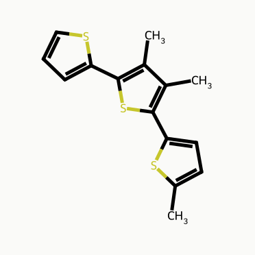 Cc1ccc(-c2sc(-c3cccs3)c(C)c2C)s1